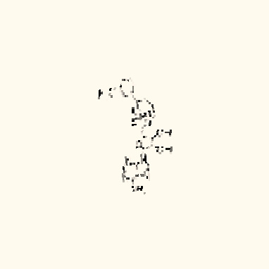 Nc1ncnc2c1ncn2[C@@H]1O[C@H](COP2(=S)OCCC(c3cccc(C(F)(F)F)c3)O2)[C@@H](O)[C@H]1O